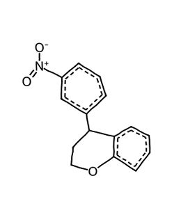 O=[N+]([O-])c1cccc(C2CCOc3ccccc32)c1